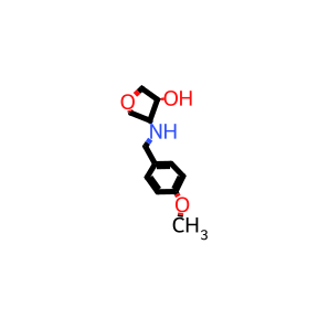 COc1ccc(CN[C@H]2COC[C@@H]2O)cc1